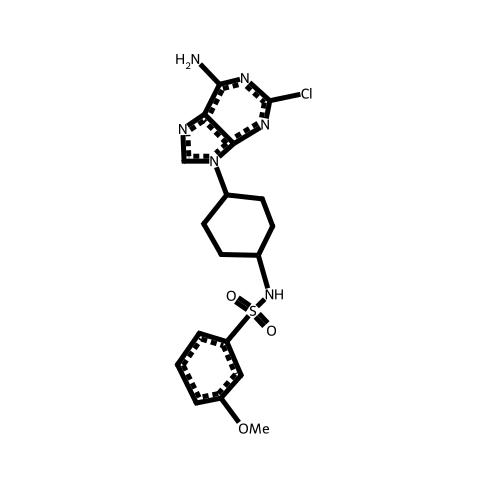 COc1cccc(S(=O)(=O)NC2CCC(n3cnc4c(N)nc(Cl)nc43)CC2)c1